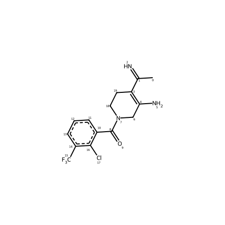 CC(=N)C1=C(N)CN(C(=O)c2cccc(C(F)(F)F)c2Cl)CC1